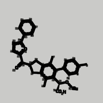 Cc1ccc(-c2c(C)c3c(c(C)c2[C@H](OC(C)(C)C)C(=O)O)CN(C(=O)c2cnc(-c4ccccc4)o2)C3)cc1